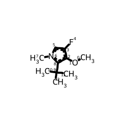 COc1c(F)cn(C)c1C(C)(C)C